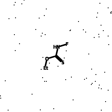 CCOC(=S)NF